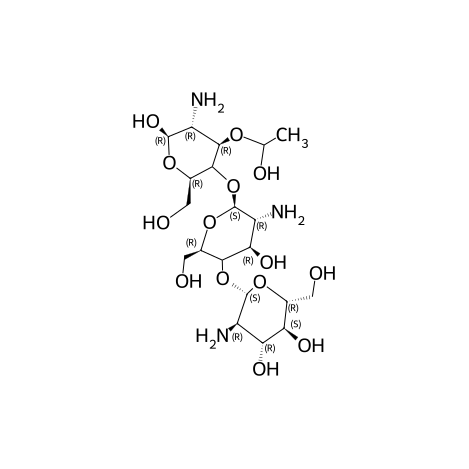 CC(O)O[C@H]1C(O[C@@H]2O[C@H](CO)C(O[C@@H]3O[C@H](CO)[C@@H](O)[C@H](O)[C@H]3N)[C@H](O)[C@H]2N)[C@@H](CO)O[C@@H](O)[C@@H]1N